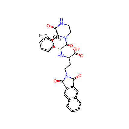 CC(C)C[C@@H](NC(CCN1C(=O)c2cc3ccccc3cc2C1=O)C(=O)O)C(=O)N1CCNC(=O)[C@@H]1c1ccccc1